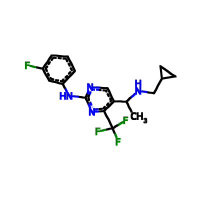 CC(NCC1CC1)c1cnc(Nc2cccc(F)c2)nc1C(F)(F)F